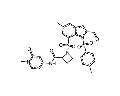 Cc1ccc(S(=O)(=O)n2c(C=O)cc3cc(C)cc(S(=O)(=O)N4CCC4C(=O)Nc4ccn(C)c(=O)c4)c32)cc1